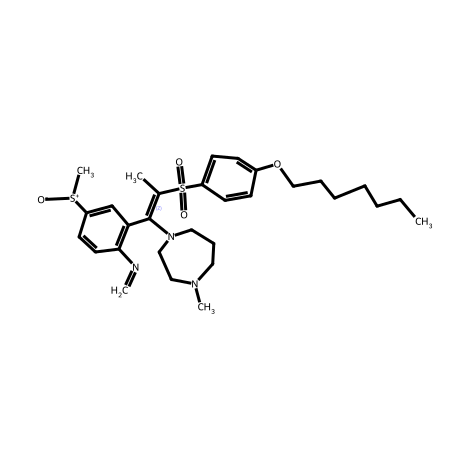 C=Nc1ccc([S+](C)[O-])cc1/C(=C(\C)S(=O)(=O)c1ccc(OCCCCCCC)cc1)N1CCCN(C)CC1